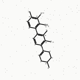 Bc1c(-c2ccc(C3=CCC(C)CC3)c(F)c2C)ccc(C)c1F